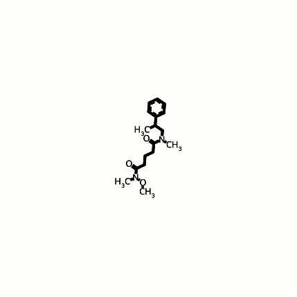 CON(C)C(=O)CCCC(=O)N(C)CC(C)c1ccccc1